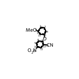 COc1cccc(Oc2ccc([N+](=O)[O-])cc2C#N)c1